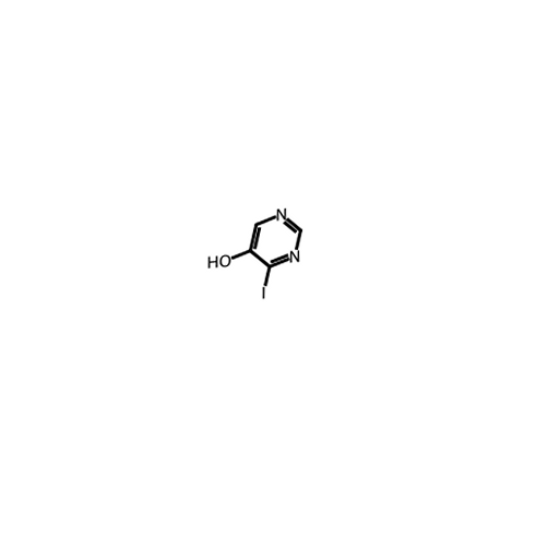 Oc1cncnc1I